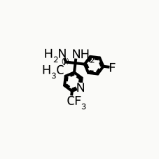 C[C@H](N)C(N)(c1ccc(F)cc1)c1ccc(C(F)(F)F)nc1